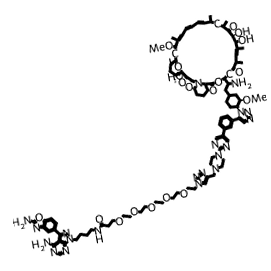 COC1C[C@@H]2CC[C@@H](C)[C@@](O)(O2)C(=O)C(=O)N2CCCCC2C(=O)OC(C(N)CC2CCC(n3nncc3-c3cccc(-c4cnc(N5CCN(Cc6cn(CCOCCOCCOCCOCCOCCC(=O)NCCCCn7nc(-c8ccc9oc(N)nc9c8)c8c(N)ncnc87)nn6)CC5)nc4)c3)[C@H](OC)C2)CC(=O)C(C)/C=C(\C)C(O)[C@@H](O)C(=O)C(C)CC(C)/C=C/C=C/C=C/1C